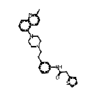 Cc1ccc2c(N3CCN(CCc4cccc(NC(=O)Cc5cccs5)c4)CC3)cccc2n1